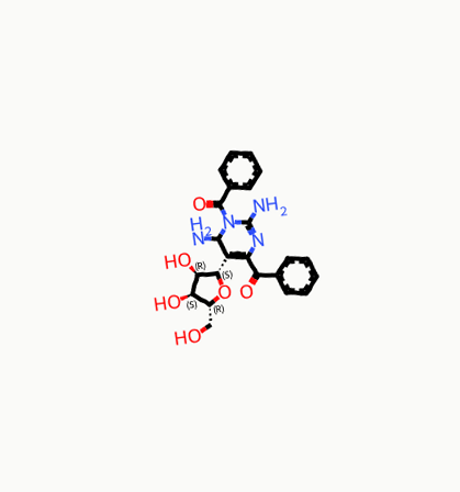 NC1=NC(C(=O)c2ccccc2)=C([C@@H]2O[C@H](CO)[C@@H](O)[C@H]2O)C(N)N1C(=O)c1ccccc1